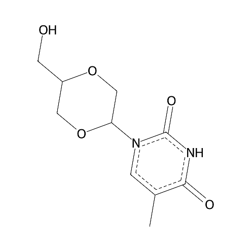 Cc1cn(C2COC(CO)CO2)c(=O)[nH]c1=O